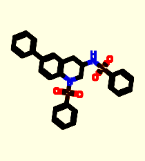 O=S(=O)(NC1Cc2cc(-c3ccccc3)ccc2N(S(=O)(=O)c2ccccc2)C1)c1ccccc1